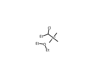 CCC(Cl)[N+](C)(C)C.CCOCC